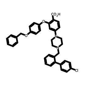 O=C(O)c1ccc(N2CCN(Cc3ccccc3-c3ccc(Cl)cc3)CC2)cc1Oc1ccc(OCc2ccccc2)cc1